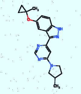 CC1CCN(c2cc(-c3n[nH]c4ccc(OC5(C)CC5)cc34)ncn2)C1